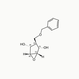 O[C@@H]1[C@@H](COCc2ccccc2)[C@H](O)[C@@H]2O[C@H]12